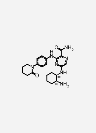 NC(=O)c1ncc(N[C@@H]2CCCC[C@@H]2N)nc1Nc1ccc(N2CCCCC2=O)cc1